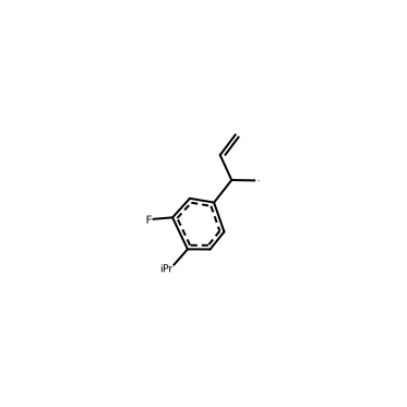 [CH2]C(C=C)c1ccc(C(C)C)c(F)c1